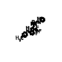 CN1CCC(Nc2cccc3c2cc(-c2noc(CNc4ccccc4)n2)n3C(F)C(F)F)CC1